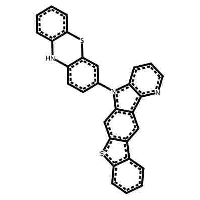 c1ccc2c(c1)Nc1ccc(-n3c4cc5sc6ccccc6c5cc4c4ncccc43)cc1S2